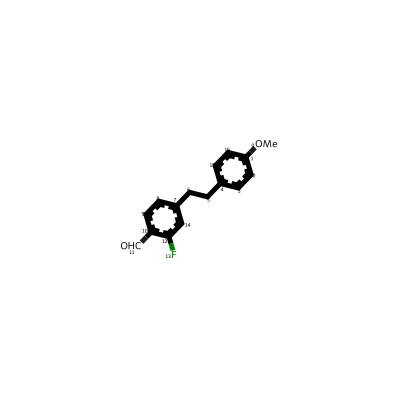 COc1ccc(CCc2ccc(C=O)c(F)c2)cc1